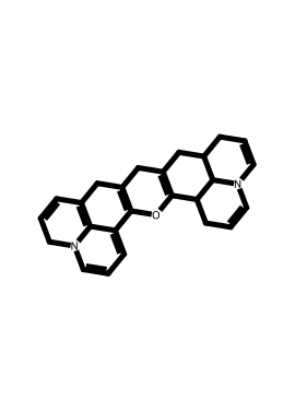 C1=CN2CC=CC3=C2C(=C1)C1=C(C3)CC2=C(O1)C1CC=CN3C=CCC(C2)C13